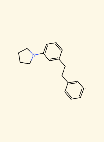 [c]1cccc(CCc2cccc(N3CCCC3)c2)c1